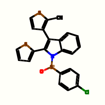 N#Cc1sccc1-c1c(-c2cccs2)n([S+]([O-])c2ccc(Cl)cc2)c2ccccc12